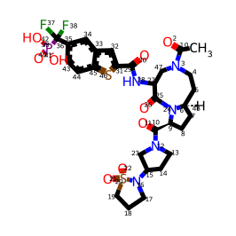 CC(=O)N1CC[C@H]2CC[C@@H](C(=O)N3CCC(N4CCCS4(=O)=O)C3)N2C(=O)C(NC(=O)c2cc3cc(C(F)(F)P(=O)(O)O)ccc3s2)C1